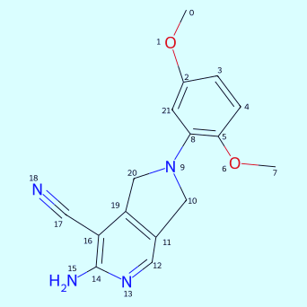 COc1ccc(OC)c(N2Cc3cnc(N)c(C#N)c3C2)c1